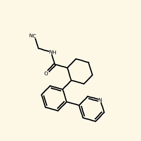 N#CCNC(=O)C1CCCCC1c1ccccc1-c1cccnc1